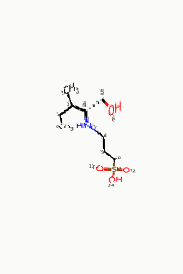 CCC(C)[C@H](CO)NCCCS(=O)(=O)O